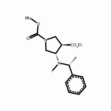 CCOC(=O)[C@@H]1CN(C(=O)OC(C)(C)C)C[C@H]1N(I)[C@H](C)c1ccccc1